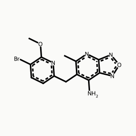 COc1nc(Cc2c(C)nc3nonc3c2N)ccc1Br